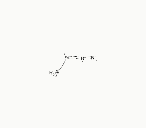 [N-]=[N+]=[N][AlH2]